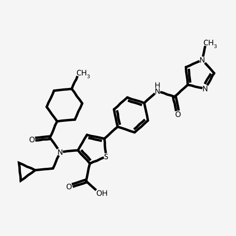 CC1CCC(C(=O)N(CC2CC2)c2cc(-c3ccc(NC(=O)c4cn(C)cn4)cc3)sc2C(=O)O)CC1